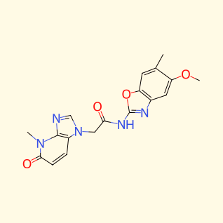 COc1cc2nc(NC(=O)Cn3cnc4c3ccc(=O)n4C)oc2cc1C